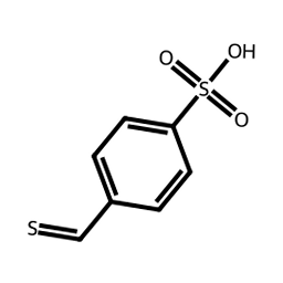 O=S(=O)(O)c1ccc(C=S)cc1